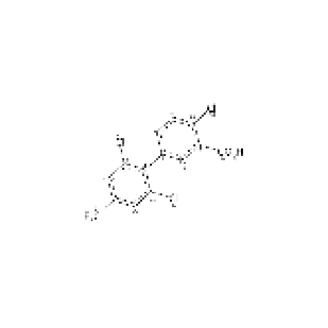 O=C(O)c1nc(-c2c(Cl)cc(C(F)(F)F)cc2Cl)ccc1Cl